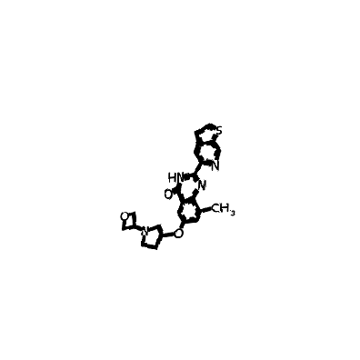 Cc1cc(OC2CCN(C3COC3)C2)cc2c(=O)[nH]c(-c3cc4ccsc4cn3)nc12